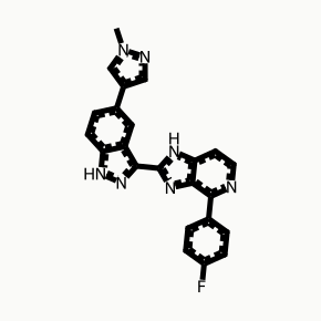 Cn1cc(-c2ccc3[nH]nc(-c4nc5c(-c6ccc(F)cc6)nccc5[nH]4)c3c2)cn1